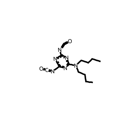 CCCCN(CCCC)c1nc(N=C=O)nc(N=C=O)n1